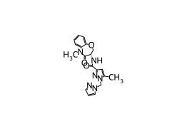 Cc1cc(C(=O)N[C@H]2COc3ccccc3N(C)C2=O)nn1Cn1cccn1